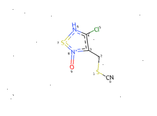 N#CSCc1c(Cl)[nH]s[n+]1=O